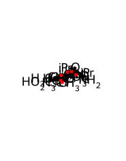 CC(C)C1=C2[C@H]3CC[C@@H]4[C@@]5(C)CCC(OC(=O)CC(C)(C)C(=O)O)C(C)(C)[C@@H]5CC[C@@]4(C)[C@]3(C)CC[C@@]2([C@@H](O)CN(CC(N)=O)C(C)C)CC1=O